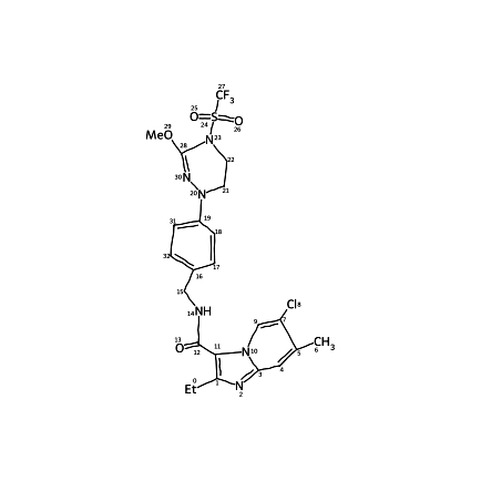 CCc1nc2cc(C)c(Cl)cn2c1C(=O)NCc1ccc(N2CCN(S(=O)(=O)C(F)(F)F)C(OC)=N2)cc1